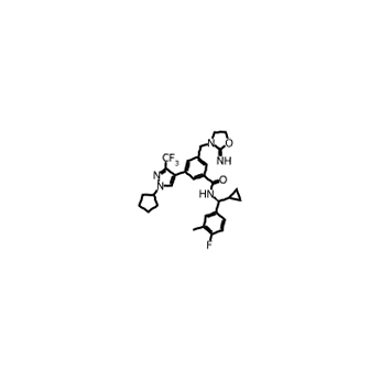 Cc1cc([C@@H](NC(=O)c2cc(CN3CCOC3=N)cc(-c3cn(C4CCCC4)nc3C(F)(F)F)c2)C2CC2)ccc1F